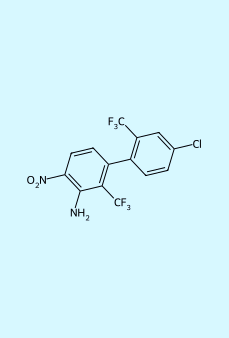 Nc1c([N+](=O)[O-])ccc(-c2ccc(Cl)cc2C(F)(F)F)c1C(F)(F)F